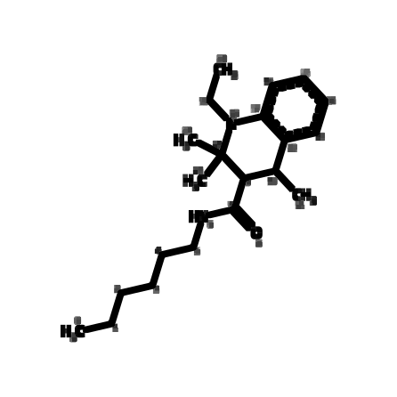 CCCCCCNC(=O)C1C(C)c2ccccc2N(CC)C1(C)C